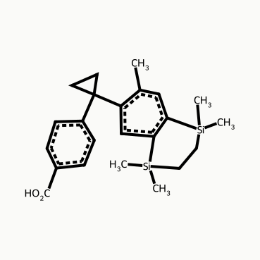 Cc1cc2c(cc1C1(c3ccc(C(=O)O)cc3)CC1)[Si](C)(C)CC[Si]2(C)C